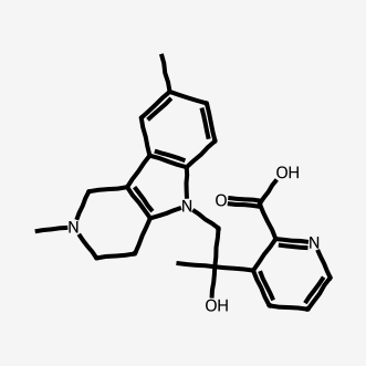 Cc1ccc2c(c1)c1c(n2CC(C)(O)c2cccnc2C(=O)O)CCN(C)C1